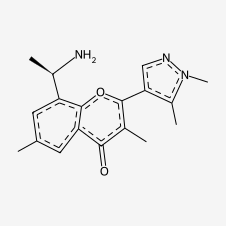 Cc1cc([C@@H](C)N)c2oc(-c3cnn(C)c3C)c(C)c(=O)c2c1